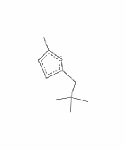 Cc1ccc(CC(C)(C)C)s1